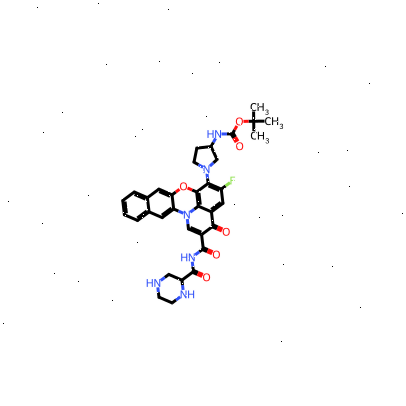 CC(C)(C)OC(=O)NC1CCN(c2c(F)cc3c(=O)c(C(=O)NC(=O)C4CNCCN4)cn4c3c2Oc2cc3ccccc3cc2-4)C1